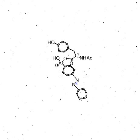 CC(=O)N[C@@H](Cc1ccc(O)cc1)C(=O)O[As](=O)(O)c1ccc(/N=N/c2ccccc2)cc1